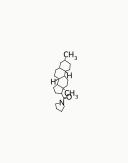 CC1CC[C@H]2C(CC[C@@H]3C2CC[C@]2(C)C(C(=O)N4CCCC4)CCC32)C1